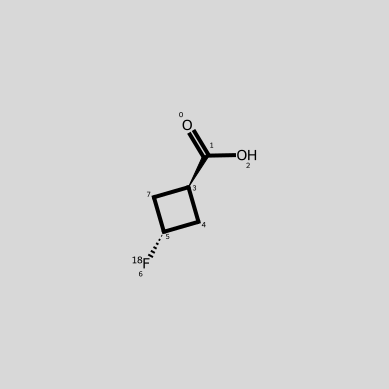 O=C(O)[C@H]1C[C@H]([18F])C1